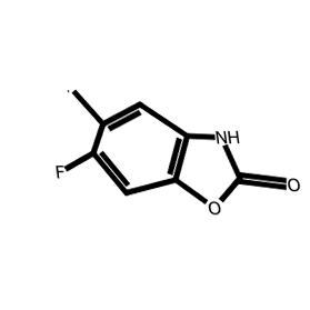 [CH2]c1cc2[nH]c(=O)oc2cc1F